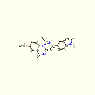 COc1cccc([C@H](C)Nc2cc(-c3ccc4c(ccn4C)c3)nc(C)n2)c1